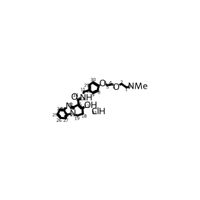 CNCCOCCOc1ccc(CNC(=O)C2=C(O)CCn3c2nc2ccccc23)cc1.Cl